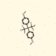 COc1ccc(C(c2ccc(OC)cc2)(C(F)(F)F)C(F)(F)F)cc1